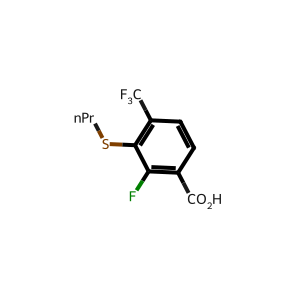 CCCSc1c(C(F)(F)F)ccc(C(=O)O)c1F